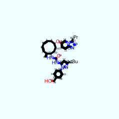 C=C1/C=C\C=C/C[C@H](Oc2ccc3nnc(C(C)C)n3c2)CC[C@@H]1NC(=O)Nc1cc(C(C)(C)C)nn1-c1ccc(CO)cc1